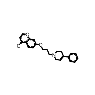 O=c1ccoc2cc(OCCCN3CC=C(c4ccccc4)CC3)ccc12